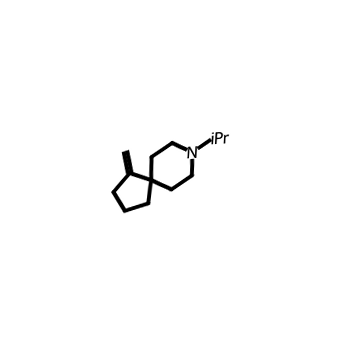 C=C1CCCC12CCN(C(C)C)CC2